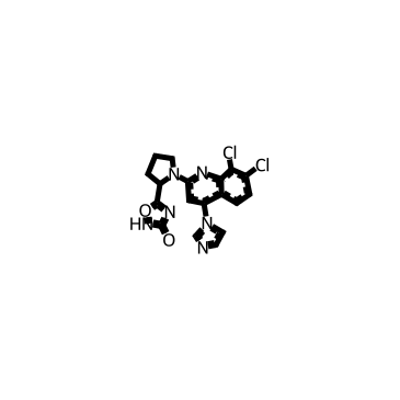 O=c1nc(C2CCCN2c2cc(-n3ccnc3)c3ccc(Cl)c(Cl)c3n2)o[nH]1